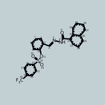 O=C(N/N=C/c1ccccc1OS(=O)(=O)c1ccc(C(F)(F)F)cc1)c1cccc2ccccc12